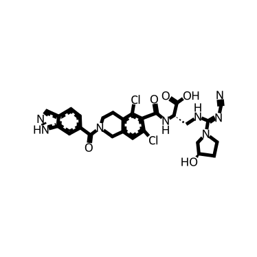 N#C/N=C(\NC[C@H](NC(=O)c1c(Cl)cc2c(c1Cl)CCN(C(=O)c1ccc3cn[nH]c3c1)C2)C(=O)O)N1CC[C@@H](O)C1